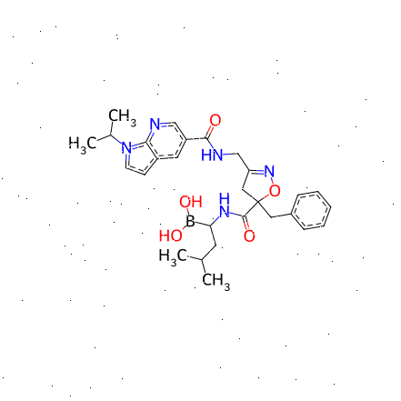 CC(C)CC(NC(=O)C1(Cc2ccccc2)CC(CNC(=O)c2cnc3c(ccn3C(C)C)c2)=NO1)B(O)O